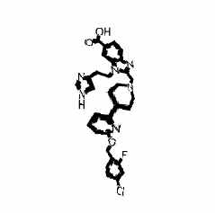 O=C(O)c1ccc2nc(CN3CCC(c4cccc(OCc5ccc(Cl)cc5F)n4)CC3)n(CCc3c[nH]cn3)c2c1